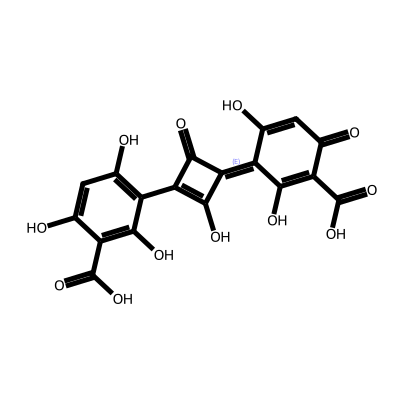 O=C(O)C1=C(O)/C(=C2/C(=O)C(c3c(O)cc(O)c(C(=O)O)c3O)=C2O)C(O)=CC1=O